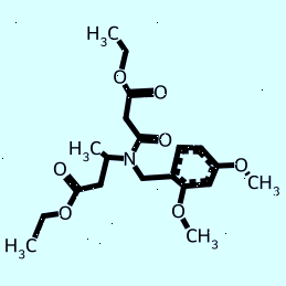 CCOC(=O)CC(=O)N(Cc1ccc(OC)cc1OC)C(C)CC(=O)OCC